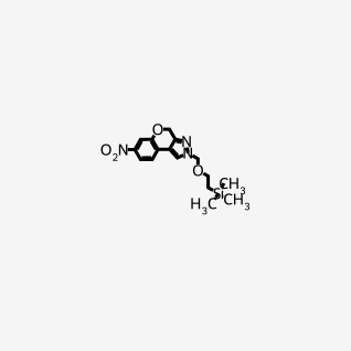 C[Si](C)(C)CCOCn1cc2c(n1)COc1cc([N+](=O)[O-])ccc1-2